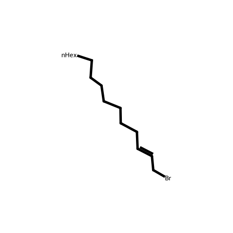 CCCCCCCCCCCCCC=CCBr